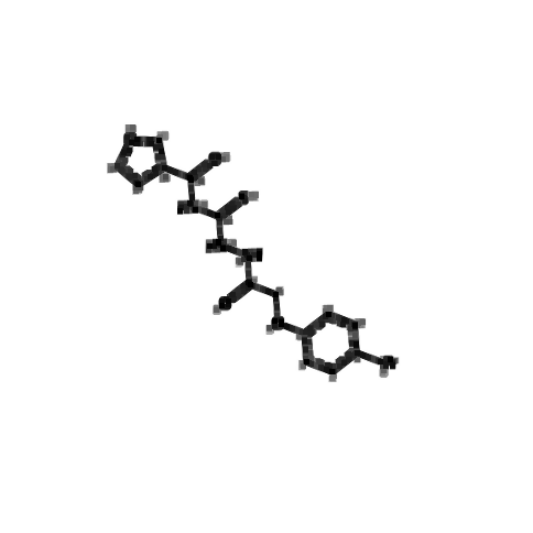 CC(C)c1ccc(OCC(=O)NNC(=S)NC(=O)c2ccoc2)cc1